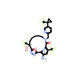 Nc1cc(C(F)(F)F)c2nc1-c1nnc(o1)[C@@](O)(C(F)(F)F)CCCCCN(Cc1ccc(C3(C(F)(F)F)CC3)cn1)C2=O